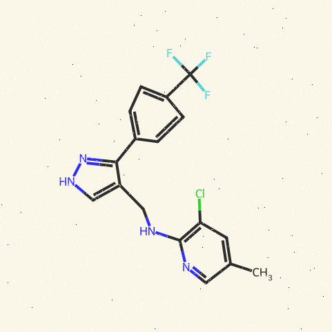 Cc1cnc(NCc2c[nH]nc2-c2ccc(C(F)(F)F)cc2)c(Cl)c1